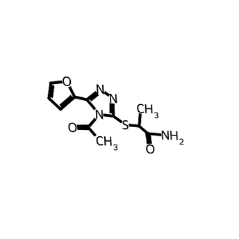 CC(=O)n1c(SC(C)C(N)=O)nnc1-c1ccco1